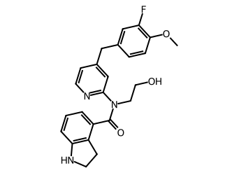 COc1ccc(Cc2ccnc(N(CCO)C(=O)c3cccc4c3CCN4)c2)cc1F